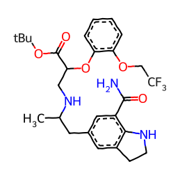 CC(Cc1cc2c(c(C(N)=O)c1)NCC2)NCC(Oc1ccccc1OCC(F)(F)F)C(=O)OC(C)(C)C